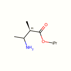 CC(C)OC(=O)[C@H](C)C(C)N